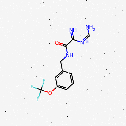 N=C(/N=C\N)C(=O)NCc1cccc(OC(F)(F)F)c1